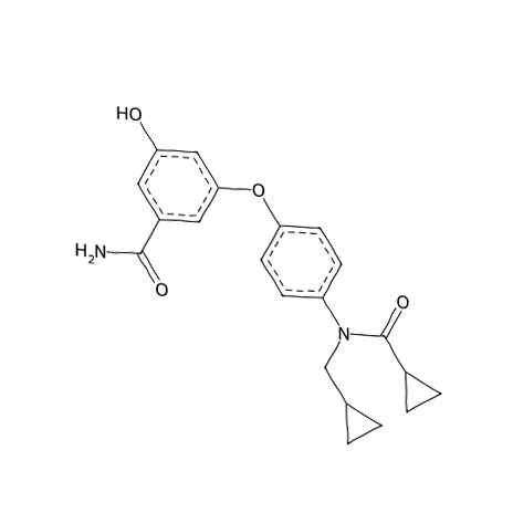 NC(=O)c1cc(O)cc(Oc2ccc(N(CC3CC3)C(=O)C3CC3)cc2)c1